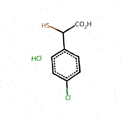 Cl.O=C(O)C(S)c1ccc(Cl)cc1